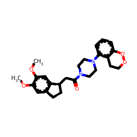 COc1cc2c(cc1OC)C(CC(=O)N1CCN(c3cccc4c3CCOO4)CC1)CC2